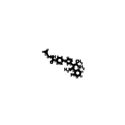 C/C(N)=C(\c1cn(-c2ccc(C(=O)NCC3CC3)cn2)cn1)N(N)c1ccccc1F